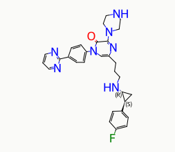 O=c1c(N2CCNCC2)nc(CCCN[C@@H]2C[C@H]2c2ccc(F)cc2)cn1-c1ccc(-c2ncccn2)cc1